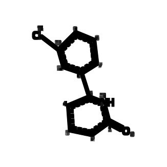 O=c1cccc(-c2cccc(Cl)c2)[nH]1